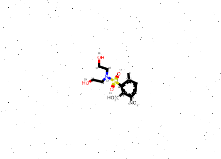 Cc1ccc([N+](=O)[O-])c(C(=O)O)c1S(=O)(=O)N(CCO)CCO